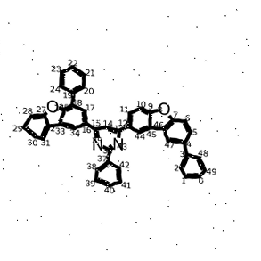 c1ccc(-c2ccc3oc4ccc(-c5cc(-c6cc(-c7ccccc7)c7oc8ccccc8c7c6)nc(-c6ccccc6)n5)cc4c3c2)cc1